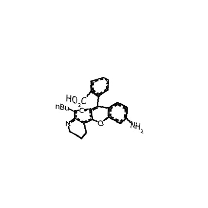 CCCCc1cc2c(c3c1=NCCC3)Oc1cc(N)ccc1C=2c1ccccc1C(=O)O